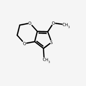 COc1sc(C)c2c1OCCO2